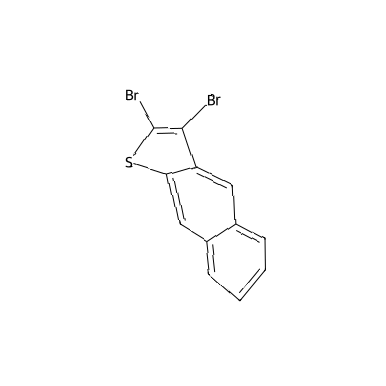 Brc1sc2cc3ccccc3cc2c1Br